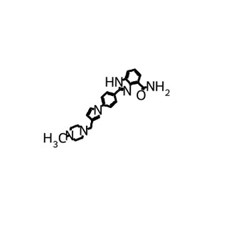 CN1CCN(Cc2ccn(-c3ccc(-c4nc5c(C(N)=O)cccc5[nH]4)cc3)c2)CC1